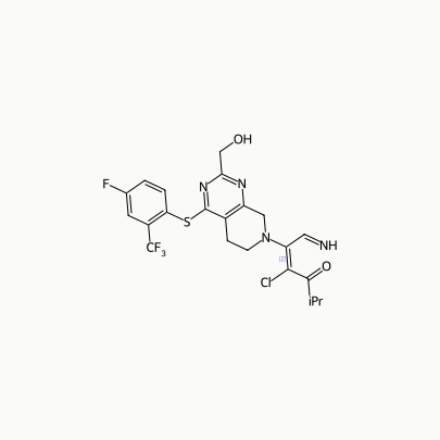 CC(C)C(=O)/C(Cl)=C(\C=N)N1CCc2c(nc(CO)nc2Sc2ccc(F)cc2C(F)(F)F)C1